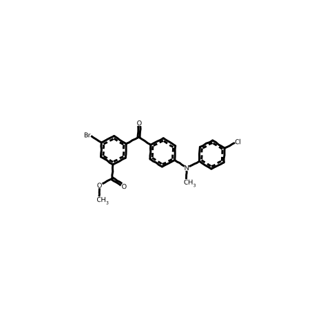 COC(=O)c1cc(Br)cc(C(=O)c2ccc(N(C)c3ccc(Cl)cc3)cc2)c1